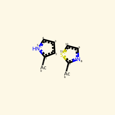 CC(=O)c1ccc[nH]1.CC(=O)c1nccs1